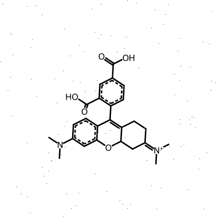 CN(C)c1ccc2c(c1)OC1CC(=[N+](C)C)CCC1=C2c1ccc(C(=O)O)cc1C(=O)O